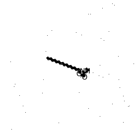 [CH2]C(=O)[C@H](CC(C)C)NC(=O)CCCCCCCCCCCCCCCCC